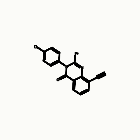 C#Cc1cccc2c(=O)n(-c3ccc(Cl)cc3)c(C(C)C)nc12